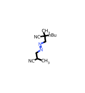 CCCCC(C)(C#N)CN=NCC(C)C#N